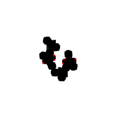 c1ccc(-c2nc(-c3ccc4c(c3)-c3ccccc3C43c4ccccc4N(c4ccc(-c5cccc(-c6nc(-c7ccc8c(c7)-c7ccccc7C87c8ccccc8N(c8ccccc8)c8ccccc87)nc7ccccc67)c5)cc4)c4ccccc43)c3ccccc3n2)cc1